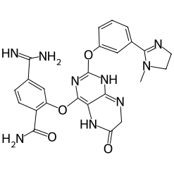 CN1CCN=C1c1cccc(OC2=NC(Oc3cc(C(=N)N)ccc3C(N)=O)=C3NC(=O)CN=C3N2)c1